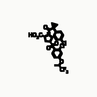 C[C@H](Oc1ccc(S(=O)(=O)[C@@H]2C[C@@H](C(=O)O)N(C(=O)C3(c4ccc(Cl)cc4)CC3)C2)c(Cl)c1)C(F)(F)F